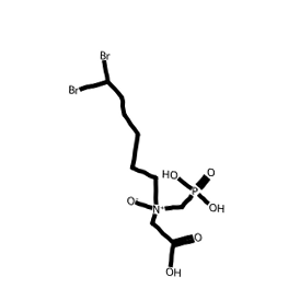 O=C(O)C[N+]([O-])(CCCCCC(Br)Br)CP(=O)(O)O